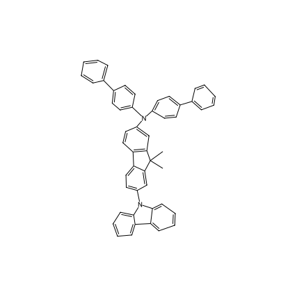 CC1(C)c2cc(N(c3ccc(-c4ccccc4)cc3)c3ccc(-c4ccccc4)cc3)ccc2-c2ccc(-n3c4ccccc4c4ccccc43)cc21